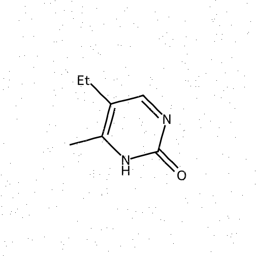 CCc1cnc(=O)[nH]c1C